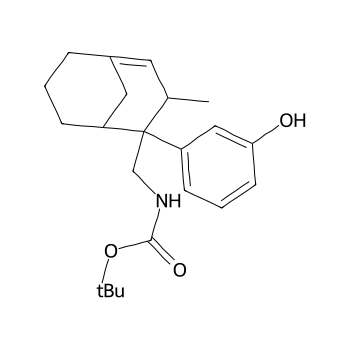 CC1C=C2CCCC(C2)C1(CNC(=O)OC(C)(C)C)c1cccc(O)c1